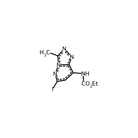 CCOC(=O)Nc1cc(I)nn2c(C)nnc12